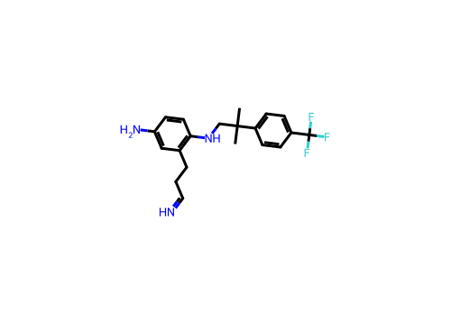 CC(C)(CNc1ccc(N)cc1CCC=N)c1ccc(C(F)(F)F)cc1